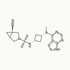 CN(c1ncnc2[nH]ccc12)[C@H]1C[C@@H](NS(=O)(=O)N2CC3C[C@]3(C#N)C2)C1